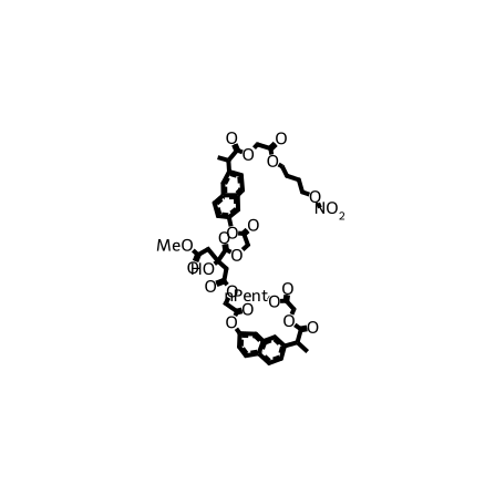 CCCCCOC(=O)COC(=O)C(C)c1ccc2ccc(OC(=O)COC(=O)CC(O)(CC(=O)OC)C(=O)OCC(=O)Oc3ccc4cc(C(C)C(=O)OCC(=O)OCCCCO[N+](=O)[O-])ccc4c3)cc2c1